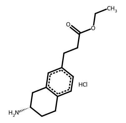 CCOC(=O)CCc1ccc2c(c1)C[C@@H](N)CC2.Cl